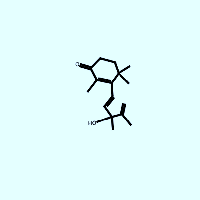 C=C(C)C(C)(O)C=CC1=C(C)C(=O)CCC1(C)C